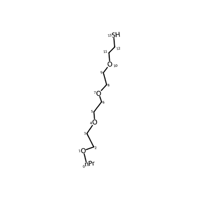 CCCOCCOCCOCCOCCS